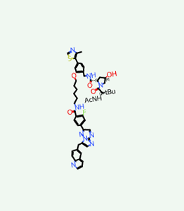 CC(=O)N[C@H](C(=O)N1C[C@H](O)C[C@H]1C(=O)NCc1ccc(-c2scnc2C)cc1OCCCCCCNC(=O)c1ccc(-c2cnc3ncc(Cc4ccc5ncccc5c4)n3n2)cc1F)C(C)(C)C